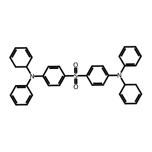 O=S(=O)(c1ccc(N(c2ccccc2)C2C=CC=CC2)cc1)c1ccc(N(c2ccccc2)C2C=CC=CC2)cc1